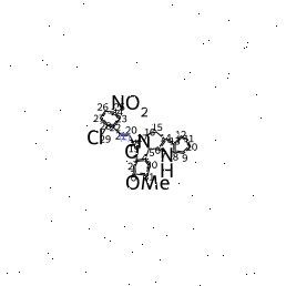 COc1ccc(C2c3[nH]c4ccccc4c3CCN2C(=O)/C=C/c2cc([N+](=O)[O-])ccc2Cl)cc1